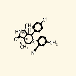 CC[C@@]12CC[C@@H](c3ccc(C)cc3C#N)C(c3ccc(Cl)cc3)[C@@H]1[C@@H](C)NC2=O